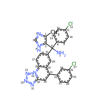 Cc1nc[nH]c1C(N)(c1ccc(Cl)cc1)c1ccc2c(c1)c(-c1cccc(Cl)c1)cc1nnnn12